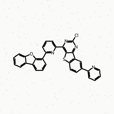 Clc1nc(-c2cccc(-c3cccc4c3oc3ccccc34)n2)c2sc3ccc(-c4ccccn4)cc3c2n1